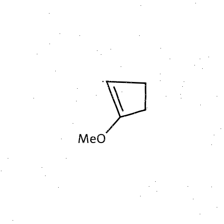 COC1=[C]CC1